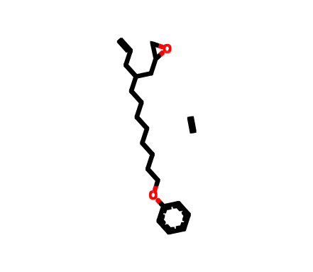 C=C.C=CCC(CCCCCCCCOc1ccccc1)CC1CO1